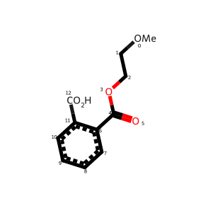 COCCOC(=O)c1ccccc1C(=O)O